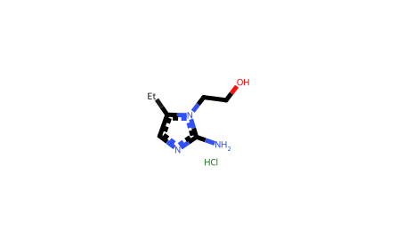 CCc1cnc(N)n1CCO.Cl